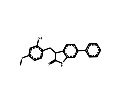 COc1ccc(CC2C(=O)Nc3cc(-c4ccccc4)ccc32)c(O)c1